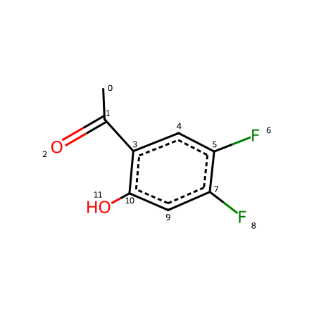 CC(=O)c1cc(F)c(F)cc1O